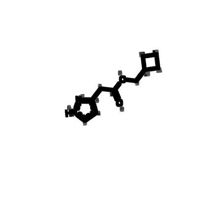 O=C(Cc1cc[nH]n1)OCC1CCC1